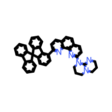 c1ccc2c(c1)-c1ccccc1C21c2ccccc2-c2c(-c3ccc4ccc5ccc(N6CCCN7CCCN=C76)nc5c4n3)cccc21